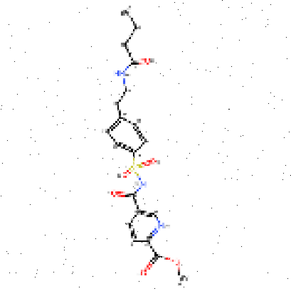 CCCOC(=O)c1ccc(C(=O)NS(=O)(=O)c2ccc(CCNC(=O)CCC(C)C)cc2)cn1